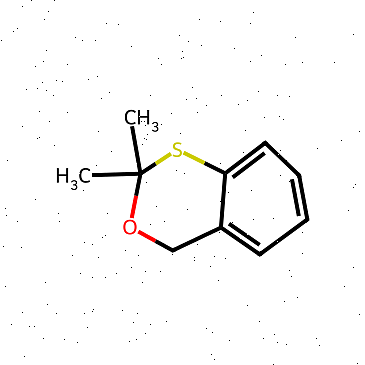 CC1(C)OCc2ccccc2S1